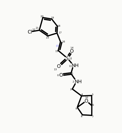 O=C(NCC1CC2CCC1O2)NS(=O)(=O)/C=C/c1cccc(Cl)c1